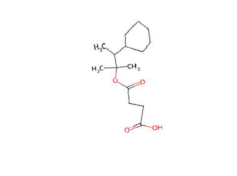 CC(C1CCCCC1)C(C)(C)OC(=O)CCC(=O)O